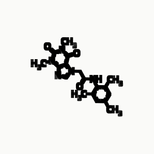 Cc1cc(C)c(NC(=O)Cn2cnc3c2c(=O)n(C)c(=O)n3C)c(C)c1